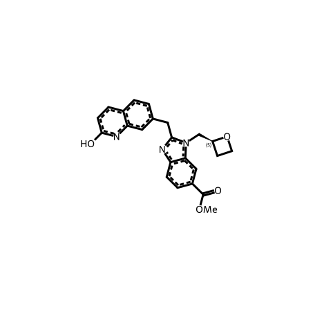 COC(=O)c1ccc2nc(Cc3ccc4ccc(O)nc4c3)n(C[C@@H]3CCO3)c2c1